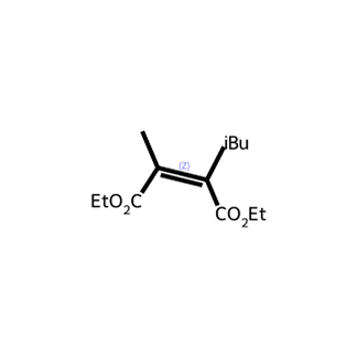 CCOC(=O)/C(C)=C(\C(=O)OCC)C(C)CC